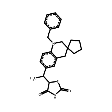 CC(c1ccc2c(c1)CC1(CCCC1)CN2Cc1ccccc1)C1SC(=O)NC1=O